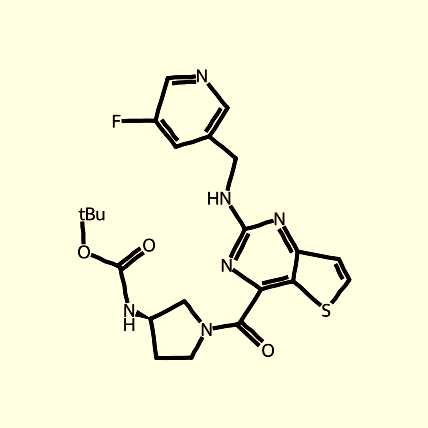 CC(C)(C)OC(=O)N[C@@H]1CCN(C(=O)c2nc(NCc3cncc(F)c3)nc3ccsc23)C1